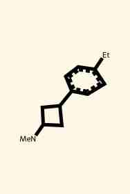 CCc1ccc(C2CC(NC)C2)cc1